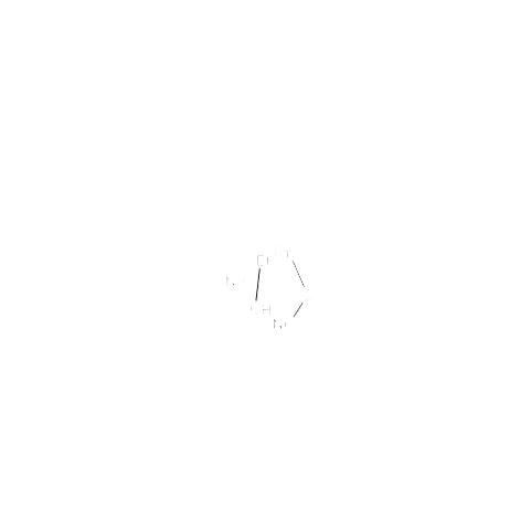 CC(C)SC#N.CCO.N